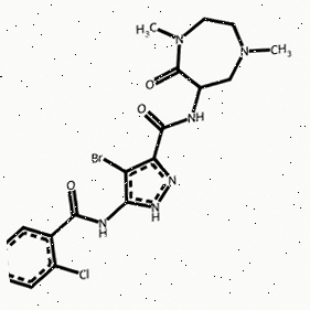 CN1CCN(C)C(=O)C(NC(=O)c2n[nH]c(NC(=O)c3ccccc3Cl)c2Br)C1